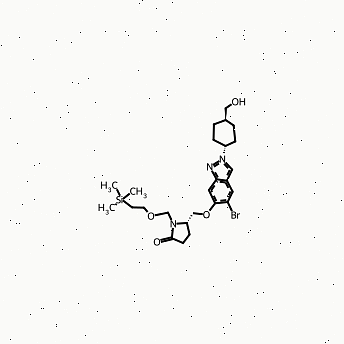 C[Si](C)(C)CCOCN1C(=O)CC[C@H]1COc1cc2nn([C@H]3CC[C@H](CO)CC3)cc2cc1Br